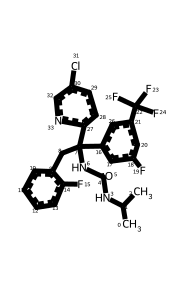 CC(C)NC(=O)NC(Cc1ccccc1F)(c1cc(F)cc(C(F)(F)F)c1)c1ccc(Cl)cn1